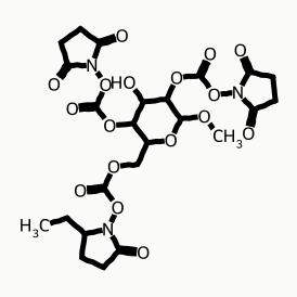 CCC1CCC(=O)N1OC(=O)OCC1OC(OC)C(OC(=O)ON2C(=O)CCC2=O)C(O)C1OC(=O)ON1C(=O)CCC1=O